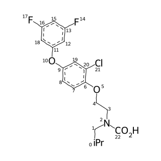 CC(C)CN(CCOc1ccc(Oc2cc(F)cc(F)c2)cc1Cl)C(=O)O